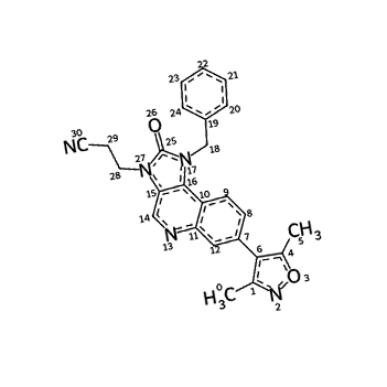 Cc1noc(C)c1-c1ccc2c(c1)ncc1c2n(Cc2ccccc2)c(=O)n1CCC#N